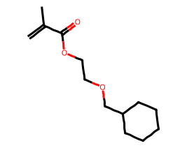 C=C(C)C(=O)OCCOCC1CCCCC1